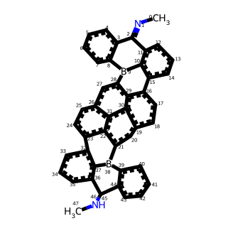 C/N=C1/c2ccccc2B2c3c1cccc3-c1ccc3cc4c5c(ccc6cc2c1c3c65)-c1cccc2c1B4c1ccccc1C2NC